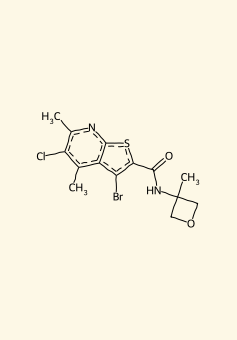 Cc1nc2sc(C(=O)NC3(C)COC3)c(Br)c2c(C)c1Cl